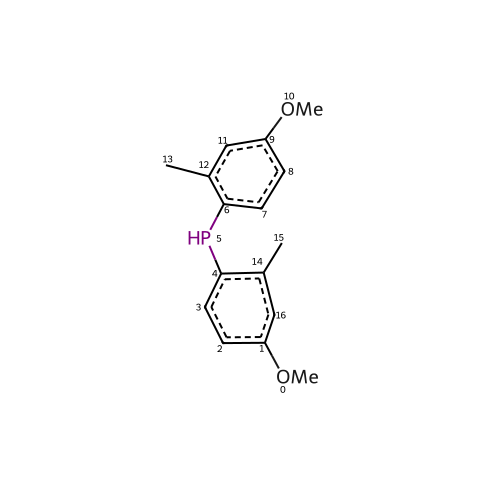 COc1ccc(Pc2ccc(OC)cc2C)c(C)c1